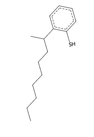 CCCCCCCC(C)c1ccccc1S